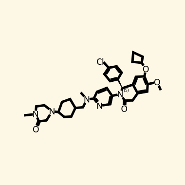 COc1cc2c(cc1OC1CCC1)[C@H](c1ccc(Cl)cc1)N(c1ccc(N(C)CC3CCC(N4CCN(C)C(=O)C4)CC3)nc1)C(=O)C2